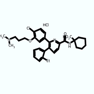 CCc1ccccc1-c1ccc(C(=O)NC2(C(=O)O)CCCCC2)nc1-c1ccc(Cl)c(OCCCN(C)C)c1.Cl